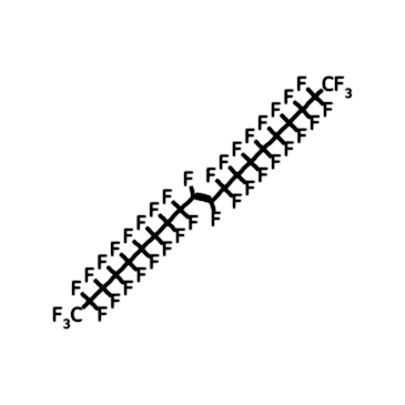 FC(=C(F)C(F)(F)C(F)(F)C(F)(F)C(F)(F)C(F)(F)C(F)(F)C(F)(F)C(F)(F)C(F)(F)F)C(F)(F)C(F)(F)C(F)(F)C(F)(F)C(F)(F)C(F)(F)C(F)(F)C(F)(F)C(F)(F)F